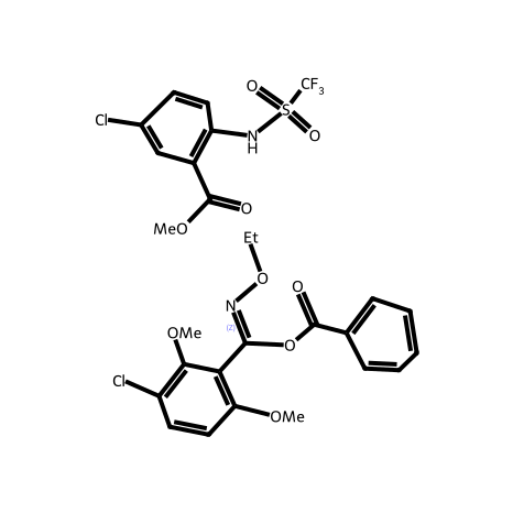 CCO/N=C(\OC(=O)c1ccccc1)c1c(OC)ccc(Cl)c1OC.COC(=O)c1cc(Cl)ccc1NS(=O)(=O)C(F)(F)F